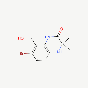 CC1(C)Nc2ccc(Br)c(CO)c2NC1=O